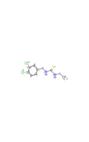 FC(F)(F)CNC(=S)NCc1ccc(Cl)c(Cl)c1